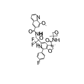 COc1cc(C(=O)NCC(O)(c2cc3c(c(-c4ccc(F)cc4)n2)OC[C@]3(C)C(=O)NC2(C)COC2)C(F)(F)F)cc2cccnc12